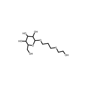 OCCSCCCOC1OC(CO)C(O)C(O)C1O